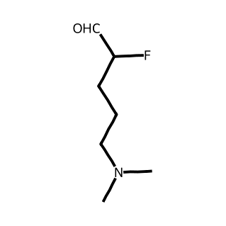 CN(C)CCCC(F)C=O